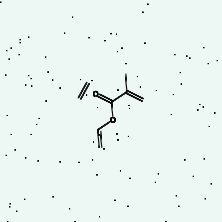 C=C.C=COC(=O)C(=C)C